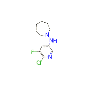 Fc1cc(NN2CCCCCC2)cnc1Cl